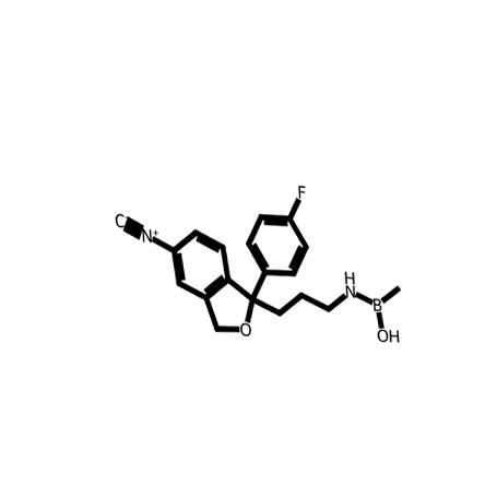 [C-]#[N+]c1ccc2c(c1)COC2(CCCNB(C)O)c1ccc(F)cc1